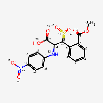 COC(=O)c1ccccc1C([C@@H](Nc1ccc([N+](=O)[O-])cc1)C(=O)O)=S(=O)=O